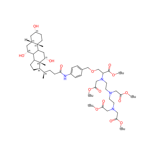 C[C@H](CCC(=O)Nc1ccc(COCC(C(=O)OC(C)(C)C)N(CCN(CCN(CC(=O)OC(C)(C)C)CC(=O)OC(C)(C)C)CC(=O)OC(C)(C)C)CC(=O)OC(C)(C)C)cc1)[C@H]1CCC2C3C(C[C@H](O)[C@@]21C)[C@@]1(C)CC[C@@H](O)C[C@H]1C[C@H]3O